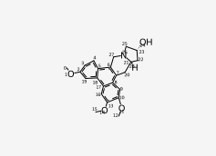 COc1ccc2c3c(c4cc(OC)c(OC)cc4c2c1)C[C@H]1C[C@@H](O)CN1C3